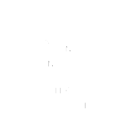 CC1(C)c2ccccc2-c2ccc(N(c3nc4c(ccc5ccccc54)o3)c3ccccc3-c3ccccc3)cc21